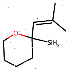 CC(C)=CC1([SiH3])CCCCO1